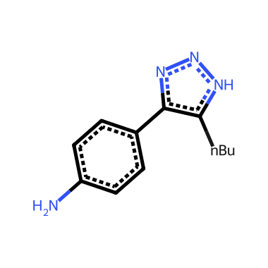 CCCCc1[nH]nnc1-c1ccc(N)cc1